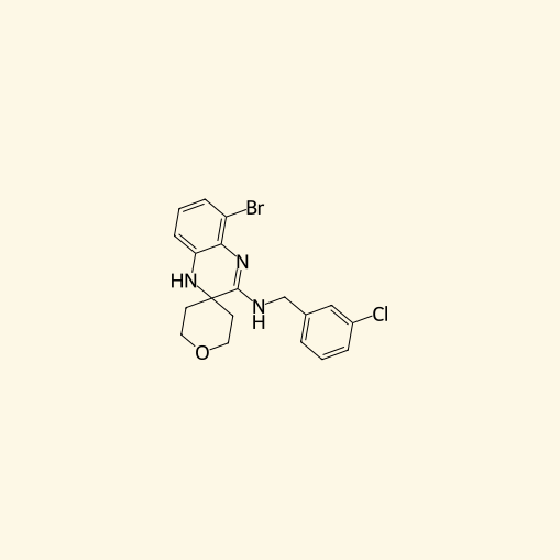 Clc1cccc(CNC2=Nc3c(Br)cccc3NC23CCOCC3)c1